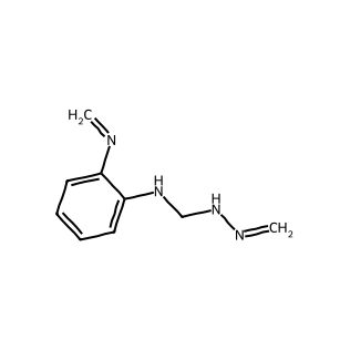 C=NNCNc1ccccc1N=C